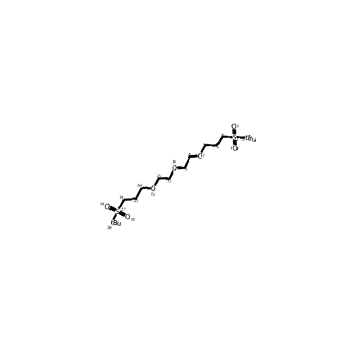 CC(C)(C)S(=O)(=O)CCCOCCOCCOCCCS(=O)(=O)C(C)(C)C